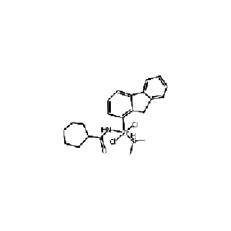 C[SiH](C)[Zr]([Cl])([Cl])([NH]C(=O)C1CCCCC1)[c]1cccc2c1Cc1ccccc1-2